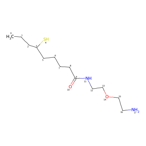 CCCC(S)CCCCC(=O)NCCOCCN